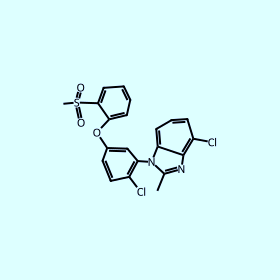 Cc1nc2c(Cl)cccc2n1-c1cc(Oc2ccccc2S(C)(=O)=O)ccc1Cl